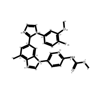 COC(=O)Nc1ccc(-n2cnc3c(C)cc(-c4nccn4-c4ccc(F)c(OC)c4)cc32)cn1